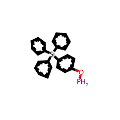 POc1ccc([Si](c2ccccc2)(c2ccccc2)c2ccccc2)cc1